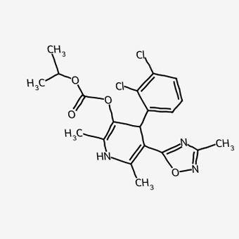 CC1=C(OC(=O)OC(C)C)C(c2cccc(Cl)c2Cl)C(c2nc(C)no2)=C(C)N1